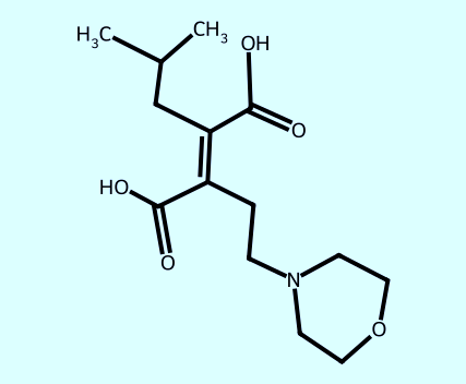 CC(C)CC(C(=O)O)=C(CCN1CCOCC1)C(=O)O